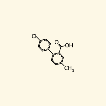 Cc1ccc(-c2ccc(Cl)cc2)c(C(=O)O)c1